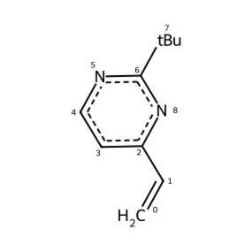 C=Cc1ccnc(C(C)(C)C)n1